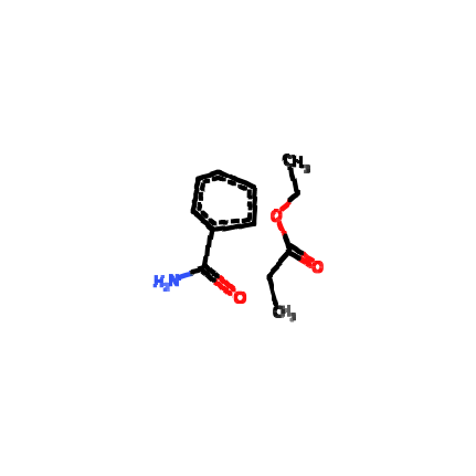 CCOC(=O)CC.NC(=O)c1ccccc1